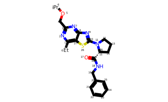 CCc1nc(COC(C)C)nc2nc(N3CCC[C@@H]3C(=O)NCc3ccccc3)sc12